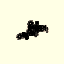 CC(C)(C)OC(=O)N[C@@H]1CCN(C(=O)N2CCC(Cn3cnc(-c4ccccc4)cc3=O)C(C)(C)C2)[C@H](c2ccccc2)C1